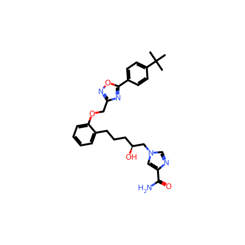 CC(C)(C)c1ccc(-c2nc(COc3ccccc3CCC[C@H](O)Cn3cnc(C(N)=O)c3)no2)cc1